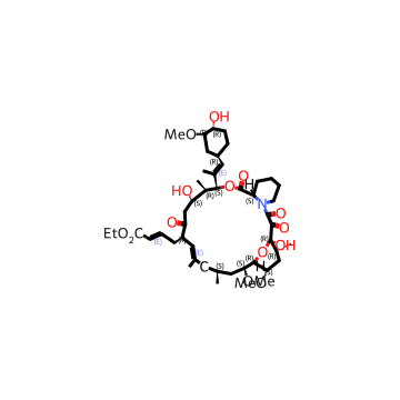 CCOC(=O)/C=C/C[C@@H]1/C=C(\C)C[C@H](C)C[C@H](OC)[C@H]2O[C@@](O)(C(=O)C(=O)N3CCCC[C@H]3C(=O)O[C@H](/C(C)=C/[C@@H]3CC[C@@H](O)[C@H](OC)C3)[C@H](C)[C@@H](O)CC1=O)[C@H](C)C[C@@H]2OC